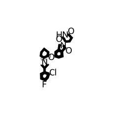 O=C1CCC(N2Cc3cc(O[C@@H]4CCCC[C@@H]4N4CC(c5ccc(F)cc5Cl)C4)ccc3C2=O)C(=O)N1